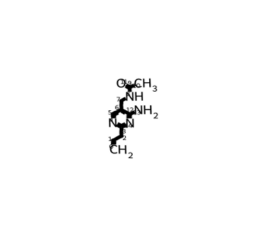 C=CCc1ncc(CNC(C)=O)c(N)n1